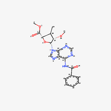 COC(=O)[C@H]1O[C@@H](n2cnc3c(NC(=O)c4ccccc4)ncnc32)[C@@H](OC)C1C